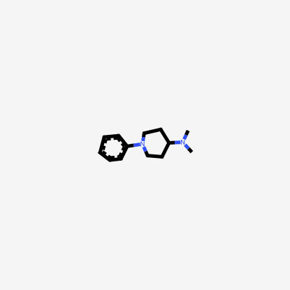 CN(C)C1CCN(c2cc[c]cc2)CC1